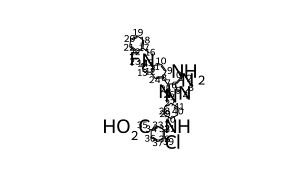 Nc1ncnc2c1c(-c1ccc3c(ccn3Cc3ccccc3F)c1)nn2C1CCC(Nc2cc(C(=O)O)ccc2Cl)CC1